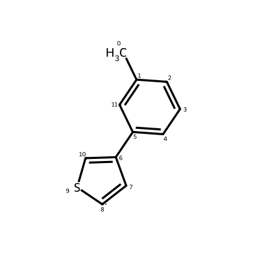 Cc1cccc(-c2c[c]sc2)c1